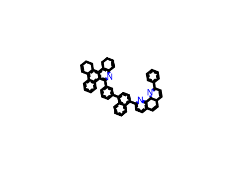 C1=Cc2nc(-c3cccc(-c4ccc(-c5ccc6c(n5)C5N=C(c7ccccc7)C=CC5C=C6)c5ccccc45)c3)c3c(c2CC1)c1c(c2ccccc23)C=CCC1